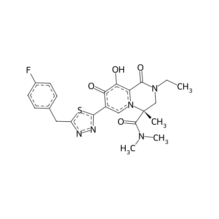 CCN1C[C@](C)(C(=O)N(C)C)n2cc(-c3nnc(Cc4ccc(F)cc4)s3)c(=O)c(O)c2C1=O